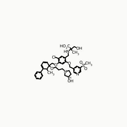 CC1C(c2ccccc2)=CC=CC1(COc1cc(OCc2cncc(S(C)(=O)=O)c2)c(CNC(C)(CO)C(=O)O)cc1Cl)OCCCN1CC[C@@H](O)C1